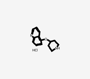 Cl.c1cc(OC2CCNCC2)c2cccnc2c1